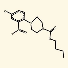 CCCCOC(=O)N1CCN(c2ccc(Cl)cc2[N+](=O)[O-])CC1